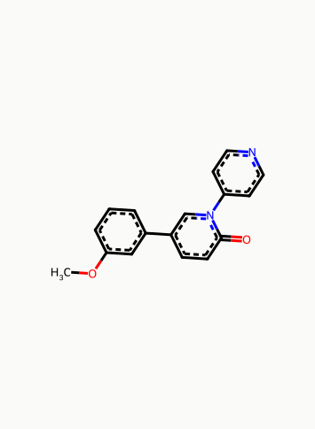 COc1cccc(-c2ccc(=O)n(-c3ccncc3)c2)c1